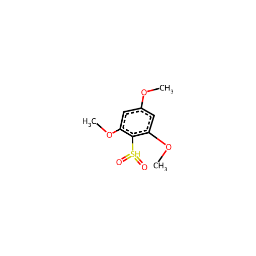 COc1cc(OC)c([SH](=O)=O)c(OC)c1